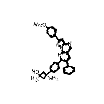 COc1ccc(-c2cc3ncc4cc(-c5ccccc5)c(-c5ccc([C@]6(N)C[C@@](C)(O)C6)cc5)nc4n3n2)cc1